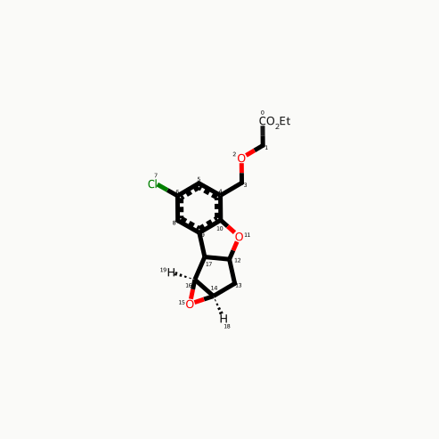 CCOC(=O)COCc1cc(Cl)cc2c1OC1C[C@H]3O[C@H]3C21